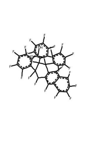 OB(O)OC1(c2c(F)c(F)c(F)c(F)c2F)c2c(c(F)c3c(F)c(F)c(F)c(F)c3c2F)C(F)C(F)(c2c(F)c(F)c(F)c(F)c2F)C1(F)c1c(F)c(F)c(F)c(F)c1F